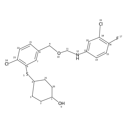 OC1CCC(Sc2cc(COCNc3ccc(F)c(Cl)c3)ccc2Cl)CC1